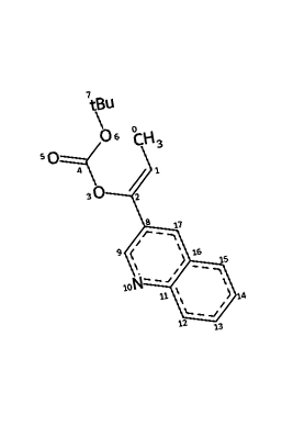 CC=C(OC(=O)OC(C)(C)C)c1cnc2ccccc2c1